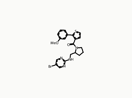 COc1cccc(-c2sccc2C(=O)N2CCCC2CNc2ncc(Br)cn2)c1